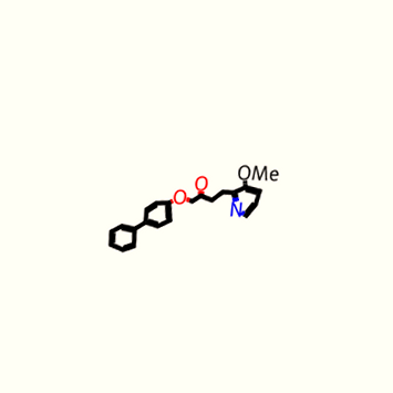 COc1cccnc1CCC(=O)COc1ccc(-c2ccccc2)cc1